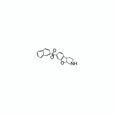 O=S(=O)(c1ccc2c(c1)OC1CNCCC21)c1ccc2ccccc2c1